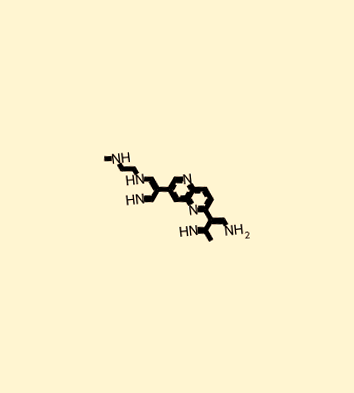 CNCCN/C=C(\C=N)c1cnc2ccc(/C(=C/N)C(C)=N)nc2c1